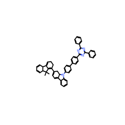 CC1(C)C2=C(C3=CC=C4c5ccccc5N(c5ccc(-c6ccc(-c7nc(-c8ccccc8)nc(-c8ccccc8)n7)cc6)cc5)C4C3)CCC=C2C2C=CC=CC21